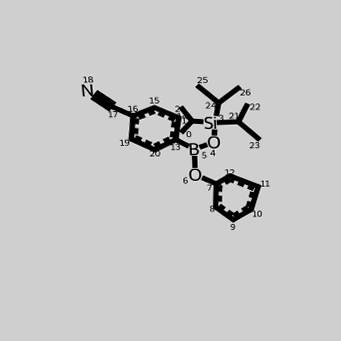 CC(C)[Si](OB(Oc1ccccc1)c1ccc(C#N)cc1)(C(C)C)C(C)C